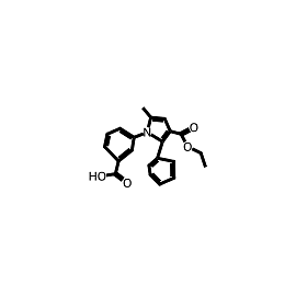 CCOC(=O)c1cc(C)n(-c2cccc(C(=O)O)c2)c1-c1ccccc1